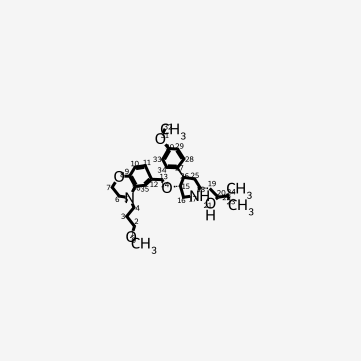 COCCCN1CCOc2ccc(CO[C@H]3CN[C@@H](CC(O)C(C)C)C[C@@H]3c3ccc(OC)cc3)cc21